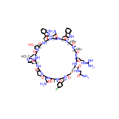 CCCC[C@H]1C(=O)N(C)[C@@H](CCCC)C(=O)N[C@@H](CCCNC(=N)N)C(=O)N[C@H](C(=O)NCC(N)=O)CSCC(=O)N[C@@H](Cc2ccc(F)cc2)C(=O)N(C)[C@@H](C)C(=O)N[C@@H](CC(N)=O)C(=O)N2CCC[C@H]2C(=O)N[C@@H](Cc2cnc[nH]2)C(=O)N[C@@H](CCC(=O)O)C(=O)N2C[C@H](O)C[C@H]2C(=O)N[C@@H](Cc2c[nH]c3ccccc23)C(=O)N[C@@H](CCN)C(=O)N[C@@H](Cc2c[nH]c3ccccc23)C(=O)N1C